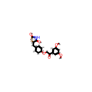 COc1cc(OC)cc(C(=O)COC2C=CC(CC3SC(=O)NC3=O)=CC2)c1